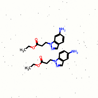 CCOC(=O)CCn1ncc2cc(N)ccc21.CCOC(=O)CCn1ncc2ccc(N)cc21